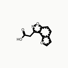 O=C(O)Cc1noc2ccc3ccoc3c12